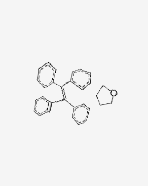 C1CCOC1.c1ccc(C(=C(c2ccccc2)c2ccccc2)c2ccccc2)cc1